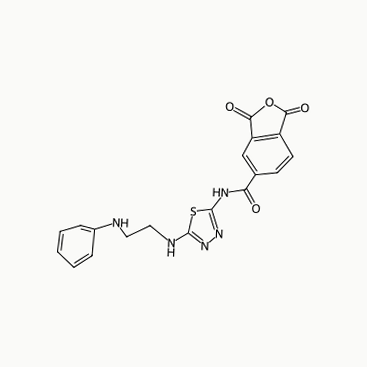 O=C(Nc1nnc(NCCNc2ccccc2)s1)c1ccc2c(c1)C(=O)OC2=O